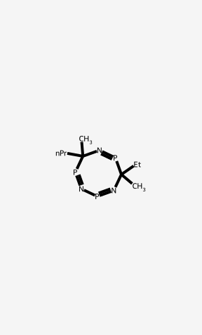 CCCC1(C)/N=P\C(C)(CC)/N=P\N=P/1